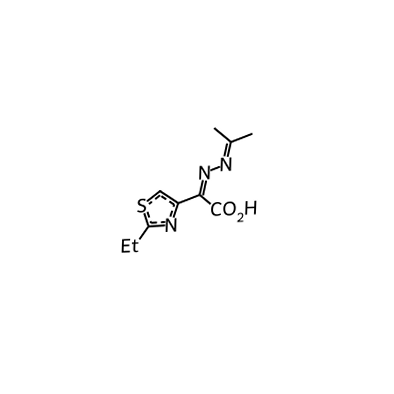 CCc1nc(/C(=N/N=C(C)C)C(=O)O)cs1